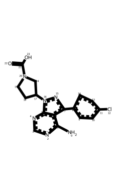 Nc1ncnc2c1c(-c1ccc(Cl)cc1)nn2C1CCN(C(=O)O)C1